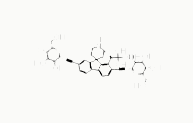 CC(C)(O)C(=O)c1c(C#C[C@H]2O[C@H](CO)[C@@H](O)[C@H](O)[C@@H]2O)ccc2c1C1(CCNCC1)c1cc(C#C[C@H]3O[C@H](CO)[C@@H](O)[C@H](O)[C@@H]3O)ccc1-2